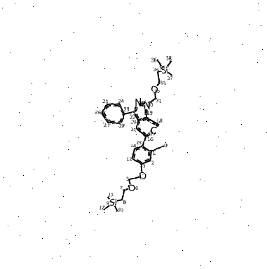 Cc1cc(OCOCC[Si](C)(C)C)ccc1-c1ccc2c(c1)c(-c1ccccc1)nn2COCC[Si](C)(C)C